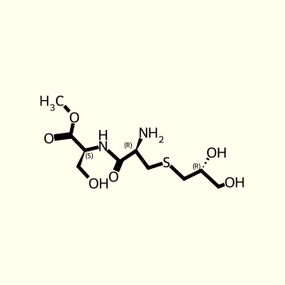 COC(=O)[C@H](CO)NC(=O)[C@@H](N)CSC[C@H](O)CO